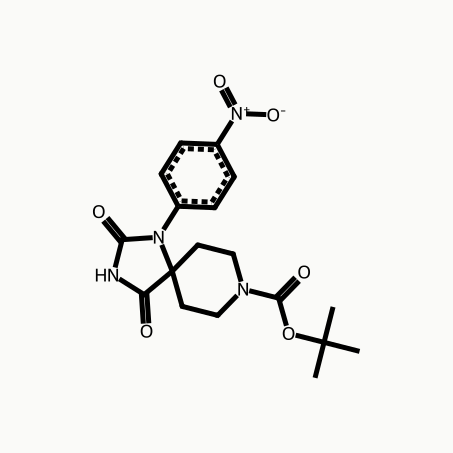 CC(C)(C)OC(=O)N1CCC2(CC1)C(=O)NC(=O)N2c1ccc([N+](=O)[O-])cc1